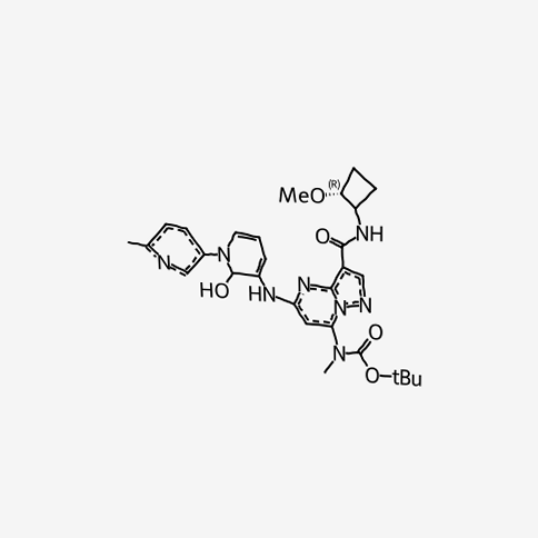 CO[C@@H]1CCC1NC(=O)c1cnn2c(N(C)C(=O)OC(C)(C)C)cc(NC3=CC=CN(c4ccc(C)nc4)C3O)nc12